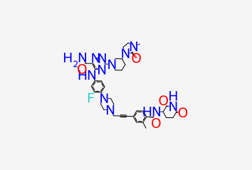 Cc1cc(C#CCN2CCN(c3ccc(Nc4nc(N5CCC[C@@H](N6CCN(C)C6=O)C5)nnc4C(N)=O)cc3F)CC2)ccc1C(=O)NC1CCC(=O)NC1=O